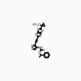 CC(OC(=O)Nc1csnc1C#Cc1nc2oc(C3(C(=O)O)CC3)nc2o1)c1ccccc1